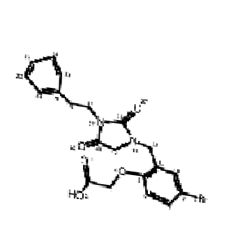 O=C(O)COc1ccc(Br)cc1CN1CC(=O)N(CCc2ccccc2)C1=O